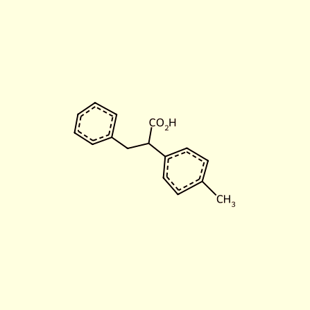 Cc1ccc(C(Cc2ccccc2)C(=O)O)cc1